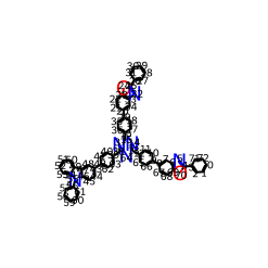 c1ccc(-c2nc3cc(-c4ccc(-c5nc(-c6ccc(-c7ccc8oc(-c9ccccc9)nc8c7)cc6)nc(-c6ccc(-c7ccc8c(c7)c7ccccc7n8-c7ccccc7)cc6)n5)cc4)ccc3o2)cc1